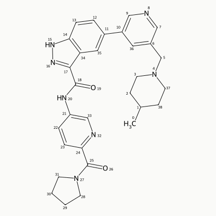 CC1CCN(Cc2cncc(-c3ccc4[nH]nc(C(=O)Nc5ccc(C(=O)N6CCCC6)nc5)c4c3)c2)CC1